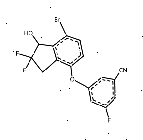 N#Cc1cc(F)cc(Oc2ccc(Br)c3c2CC(F)(F)C3O)c1